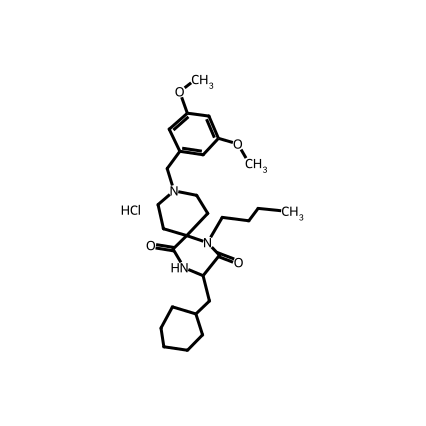 CCCCN1C(=O)C(CC2CCCCC2)NC(=O)C12CCN(Cc1cc(OC)cc(OC)c1)CC2.Cl